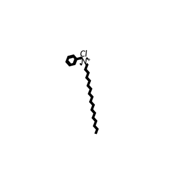 CCCCCCCCCCCCCCCCCC[N+](C)(C)C(Cl)c1ccccc1